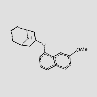 COc1ccc2cccc(OC3CC4CCCC(C3)N4)c2c1